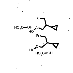 CC(C)CC(COO)C1CC1.CC(C)CC(COO)C1CC1.O=C(O)O.O=C(O)O